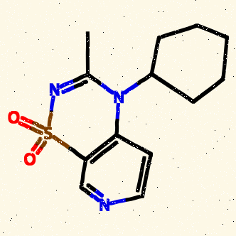 CC1=NS(=O)(=O)c2cnccc2N1C1CCCCC1